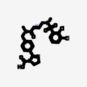 CN(Cc1ccc(C2=NCCN2C(=O)O)cc1)C(=O)/C=C/CN(C)S(=O)(=O)c1cccc(Cl)c1Cl